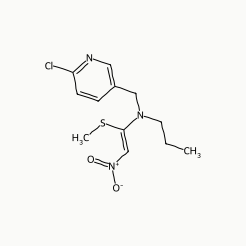 CCCN(Cc1ccc(Cl)nc1)C(=C[N+](=O)[O-])SC